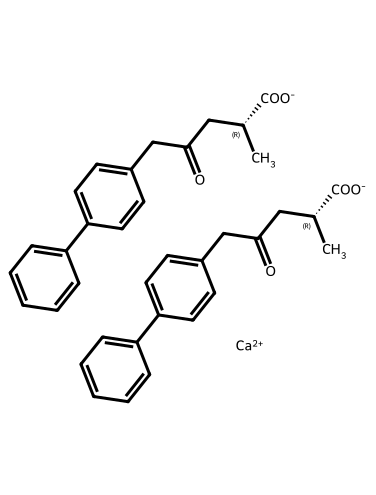 C[C@H](CC(=O)Cc1ccc(-c2ccccc2)cc1)C(=O)[O-].C[C@H](CC(=O)Cc1ccc(-c2ccccc2)cc1)C(=O)[O-].[Ca+2]